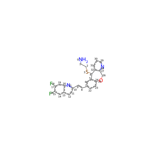 NCCSC1c2cc(C=Cc3ccc4cc(F)c(F)cc4n3)ccc2OCc2ncccc21